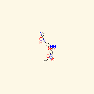 CCCCCCN1C(=O)CN(c2ccc(S(=O)(=O)Nc3ccc(CCNCC(O)c4cccnc4)cc3)cc2)C1=O